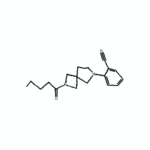 CCCCC(=O)N1CC2(CCN(c3ccccc3C#N)C2)C1